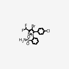 NS(=O)(=O)c1ccccc1-n1nc(C(F)F)c(Br)c1-c1ccc(Cl)cc1